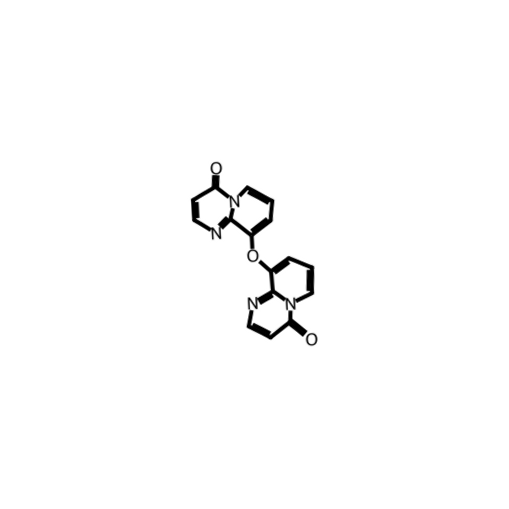 O=c1ccnc2c(Oc3cccn4c(=O)ccnc34)cccn12